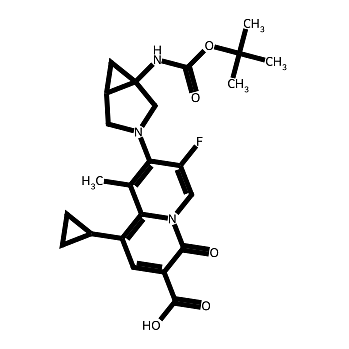 Cc1c(N2CC3CC3(NC(=O)OC(C)(C)C)C2)c(F)cn2c(=O)c(C(=O)O)cc(C3CC3)c12